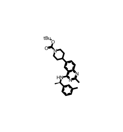 Cc1cccc([C@@H](C)Nc2nc(C)nc3ccc(C4CCN(C(=O)OC(C)(C)C)CC4)cc23)c1